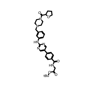 CC(C)(C)OC(=O)CNC(=O)c1ccc(-c2cnc(Nc3cccc(CN4CCN(C(=O)C5CCCO5)CC4)c3)nc2)cc1